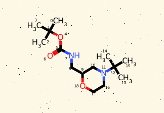 CC(C)(C)OC(=O)NCC1CN(C(C)(C)C)CCO1